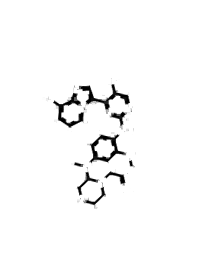 COc1cc(N(C)C2CNCCN2CC=O)ccc1Nc1ncc(Cl)c(-c2cnc3c(F)cccn23)n1